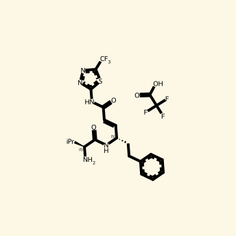 CC(C)[C@H](N)C(=O)N[C@H](C=CC(=O)Nc1nnc(C(F)(F)F)s1)CCc1ccccc1.O=C(O)C(F)(F)F